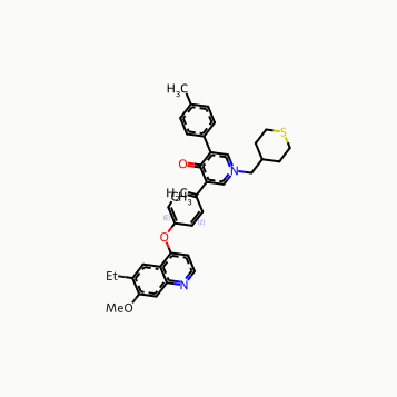 C=C(/C=C\C(=C/C)Oc1ccnc2cc(OC)c(CC)cc12)c1cn(CC2CCSCC2)cc(-c2ccc(C)cc2)c1=O